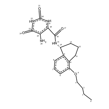 CCCCOc1cccc2c1CCC[C@H]2NC(=O)c1[nH]c(=O)[nH]c(=O)c1N